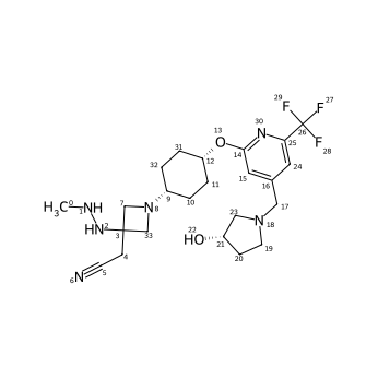 CNNC1(CC#N)CN([C@H]2CC[C@@H](Oc3cc(CN4CC[C@H](O)C4)cc(C(F)(F)F)n3)CC2)C1